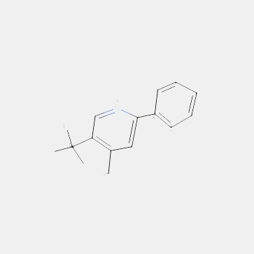 [2H]C([2H])(C)c1cnc(-c2ccccc2)cc1C